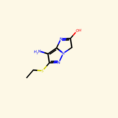 CCSc1nn2c(c1N)N=C(O)C2